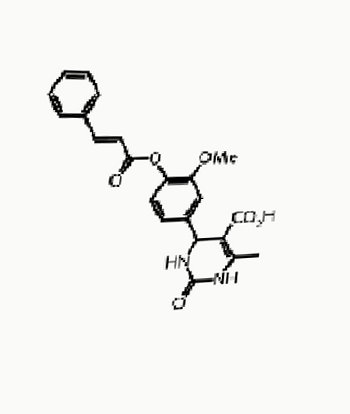 COc1cc(C2NC(=O)NC(C)=C2C(=O)O)ccc1OC(=O)C=Cc1ccccc1